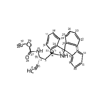 C#C[C@@H](CC(=O)NC(c1ccccc1)(c1ccccc1)c1ccccc1)NC(=O)OC(C)(C)C